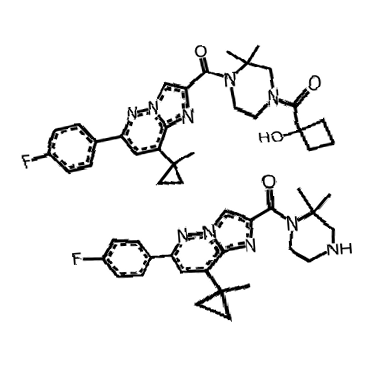 CC1(c2cc(-c3ccc(F)cc3)nn3cc(C(=O)N4CCN(C(=O)C5(O)CCC5)CC4(C)C)nc23)CC1.CC1(c2cc(-c3ccc(F)cc3)nn3cc(C(=O)N4CCNCC4(C)C)nc23)CC1